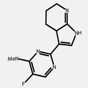 CNc1nc(C2=CNC3=NCCCC23)ncc1F